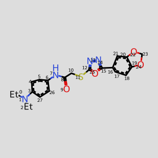 CCN(CC)c1ccc(NC(=O)CSc2nnc(-c3ccc4c(c3)OCO4)o2)cc1